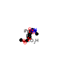 CC(C)C1=C2[C@H]3CC[C@@H]4[C@]5(C)CC[C@H]([C@@]6(C(=O)O)C[C@@H](C(=O)OCc7ccccc7)C6(C)C)C(C)(C)[C@H]5CC[C@@]4(C)[C@]3(C)CC[C@@]2(C(=O)N2CCCC2c2ncc(-c3ccccc3)[nH]2)CC1=O